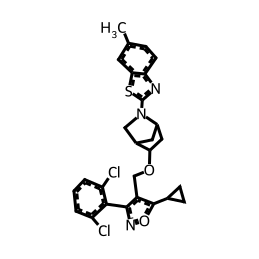 Cc1ccc2nc(N3CC4CC3CC4OCc3c(-c4c(Cl)cccc4Cl)noc3C3CC3)sc2c1